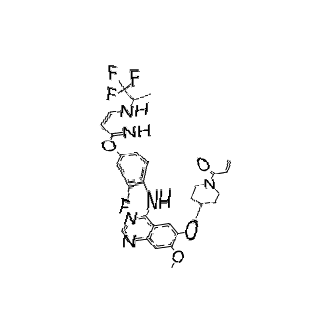 C=CC(=O)N1CCC(Oc2cc3c(Nc4ccc(OC(=N)/C=C\NC(C)C(F)(F)F)cc4F)ncnc3cc2OC)CC1